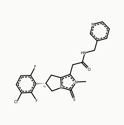 Cn1c(CC(=O)NCc2cccnc2)c2n(c1=S)C[C@H](c1c(F)ccc(Cl)c1F)C2